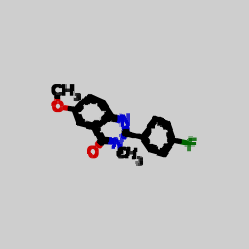 COc1ccc2nc(-c3ccc(F)cc3)n(C)c(=O)c2c1